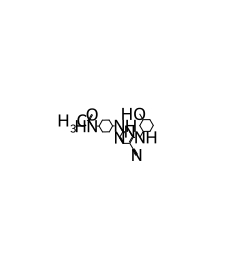 CC(=O)NC1CCC(Nc2ncc(C#N)c(NC3CCCC(O)C3)n2)CC1